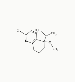 COC1(C(C)C)CCCc2nc(Cl)ccc21